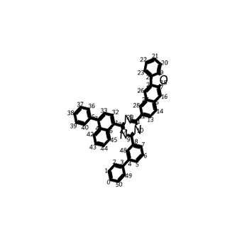 c1ccc(-c2cccc(-c3nc(-c4ccc5cc6oc7ccccc7c6cc5c4)nc(-c4ccc(-c5ccccc5)c5ccccc45)n3)c2)cc1